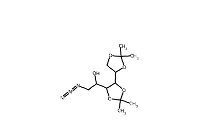 CC1(C)OCC(C2OC(C)(C)OC2C(O)CN=[N+]=[N-])O1